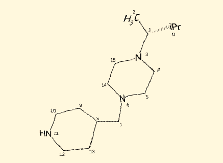 CC(C)[C@@H](C)N1CCN(CC2CCNCC2)CC1